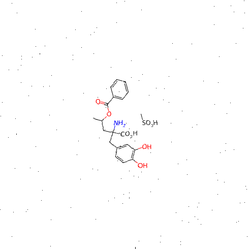 CC(CC(N)(Cc1ccc(O)c(O)c1)C(=O)O)OC(=O)c1ccccc1.CS(=O)(=O)O